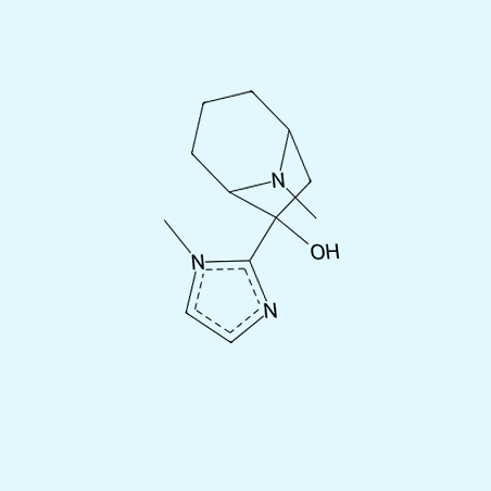 CN1C2CCCC1C(O)(c1nccn1C)C2